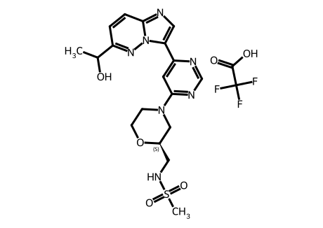 CC(O)c1ccc2ncc(-c3cc(N4CCO[C@H](CNS(C)(=O)=O)C4)ncn3)n2n1.O=C(O)C(F)(F)F